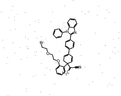 C=C(C#N)C1(c2ccccc2OCCOCCBr)C=CC(c2ccc(-c3nc4ccccc4n3-c3ccccc3)cc2)=CC1